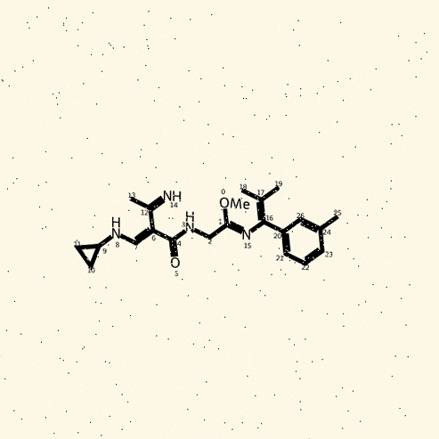 CO/C(CNC(=O)/C(=C/NC1CC1)C(C)=N)=N\C(=C(C)C)c1cccc(C)c1